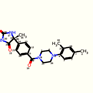 Cc1ccc(N2CCN(C(=O)c3ccc([C@@]4(C)NC(=O)NC4=O)cc3)CC2)c(C)c1